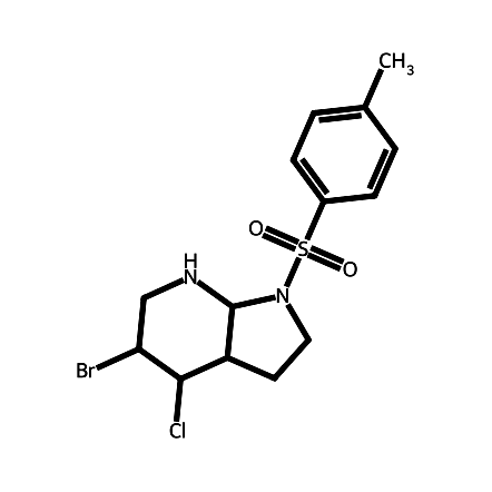 Cc1ccc(S(=O)(=O)N2CCC3C(Cl)C(Br)CNC32)cc1